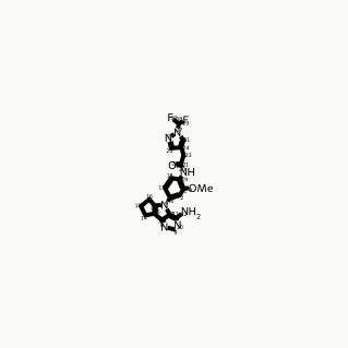 COc1cc(-n2c3c(c4ncnc(N)c42)CCC3)ccc1NC(=O)Cc1cnn(C(F)F)c1